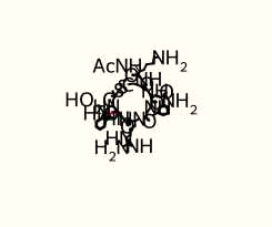 CC(=O)N[C@@H](CCCCN)C(=O)N[C@H]1CCSSC(C)(C)[C@@H](C(=O)O)NC(=O)[C@H](Cc2c[nH]c3ccccc23)NC(=O)[C@H](CCCNC(=N)N)NC(=O)[C@@H](Cc2ccccc2)NC(=O)[C@H](CCC(N)=O)NC1=O